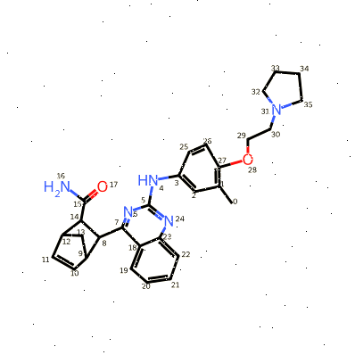 Cc1cc(Nc2nc(C3C4C=CC(C4)C3C(N)=O)c3ccccc3n2)ccc1OCCN1CCCC1